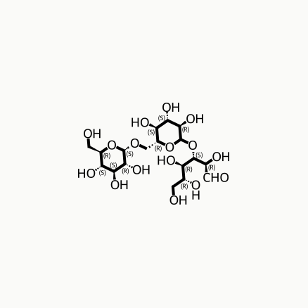 O=C[C@H](O)[C@@H](OC1O[C@H](CO[C@H]2O[C@H](CO)[C@@H](O)[C@H](O)[C@H]2O)[C@@H](O)[C@H](O)[C@H]1O)[C@H](O)[C@H](O)CO